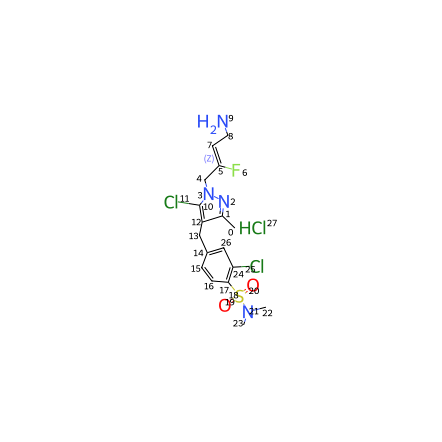 Cc1nn(C/C(F)=C/CN)c(Cl)c1Cc1ccc(S(=O)(=O)N(C)C)c(Cl)c1.Cl